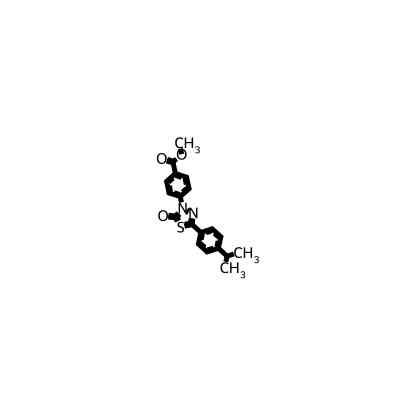 COC(=O)c1ccc(-n2nc(-c3ccc(C(C)C)cc3)sc2=O)cc1